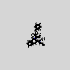 C=C/C=C/C1CC2C3CCC(C3)C2C/C1=C(/C(=C)O)C(=O)OCc1ccccc1